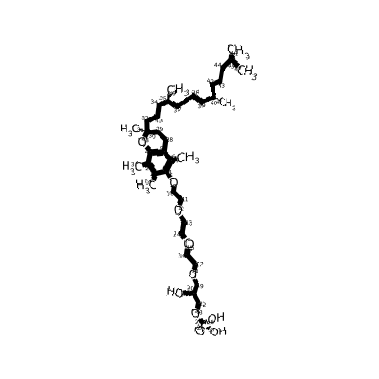 Cc1c(C)c2c(c(C)c1OCCOCCOCCOCC(O)COP(=O)(O)O)CC[C@](C)(CCC[C@@H](C)CCC[C@@H](C)CCCC(C)C)O2